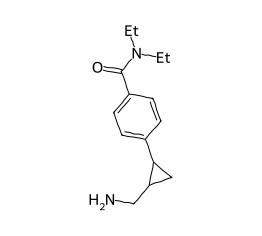 CCN(CC)C(=O)c1ccc(C2CC2CN)cc1